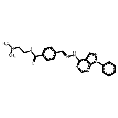 CN(C)CCNC(=O)c1ccc(C=NNc2ncnc3c2cnn3-c2ccccc2)cc1